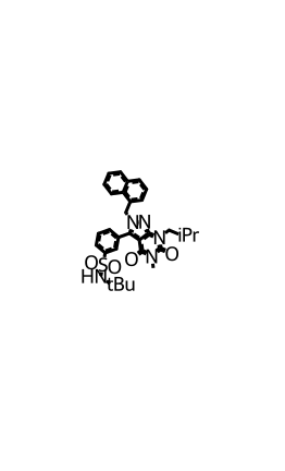 CC(C)Cn1c(=O)n(C)c(=O)c2c(-c3cccc(S(=O)(=O)NC(C)(C)C)c3)n(Cc3cccc4ccccc34)nc21